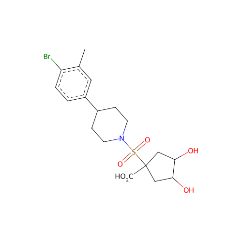 Cc1cc(C2CCN(S(=O)(=O)C3(C(=O)O)CC(O)C(O)C3)CC2)ccc1Br